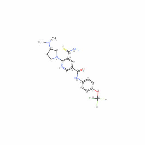 CN(C)[C@@H]1CCN(c2ncc(C(=O)Nc3ccc(OC(F)(F)Cl)cc3)cc2C(N)=S)C1